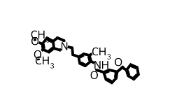 COc1cc2c(cc1OC)CN(CCc1ccc(NC(=O)c3cccc(C(=O)c4ccccc4)c3)c(C)c1)CC2